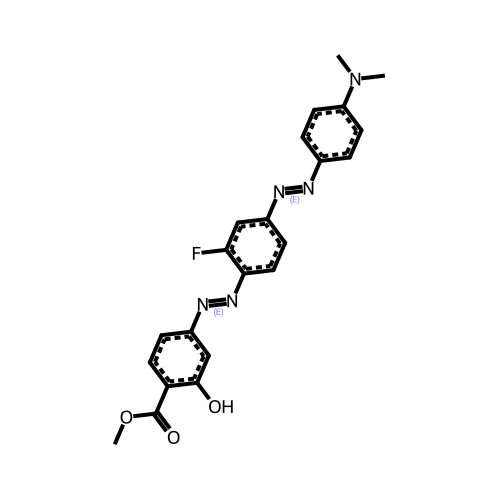 COC(=O)c1ccc(/N=N/c2ccc(/N=N/c3ccc(N(C)C)cc3)cc2F)cc1O